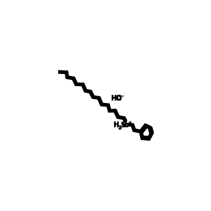 CCCCCCCCCCCCCCC[CH2][SbH2+][CH2]Cc1ccccc1.[OH-]